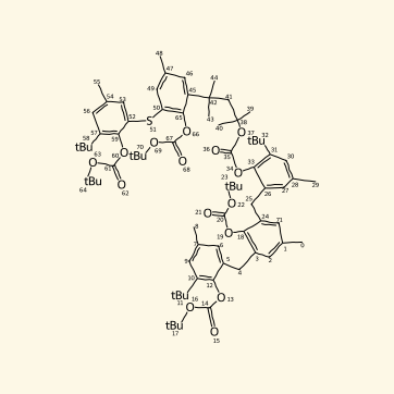 Cc1cc(Cc2cc(C)cc(C(C)(C)C)c2OC(=O)OC(C)(C)C)c(OC(=O)OC(C)(C)C)c(Cc2cc(C)cc(C(C)(C)C)c2OC(=O)OC(C)(C)CC(C)(C)c2cc(C)cc(Sc3cc(C)cc(C(C)(C)C)c3OC(=O)OC(C)(C)C)c2OC(=O)OC(C)(C)C)c1